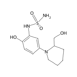 NS(=O)(=O)Nc1cc(N2CCCCC2CO)ccc1O